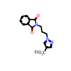 CCOC(=O)c1cnn(CCCN2C(=O)c3ccccc3C2=O)c1